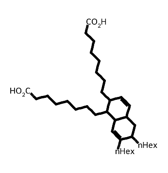 CCCCCCC1=CC2C(C=CC(CCCCCCCC(=O)O)C2CCCCCCCC(=O)O)CC1CCCCCC